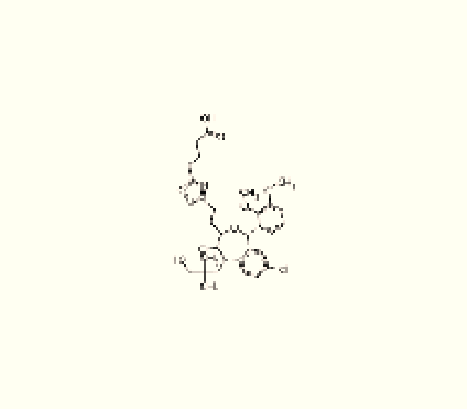 COc1cccc([C@H]2O[C@H](CCc3noc(CCCC(=O)O)n3)C(=O)N(CC(C)(C)CO)c3ccc(Cl)cc32)c1OC